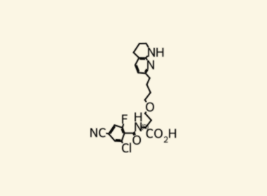 N#Cc1cc(F)c(C(=O)N[C@H](CCOCCCCc2ccc3c(n2)NCCC3)C(=O)O)c(Cl)c1